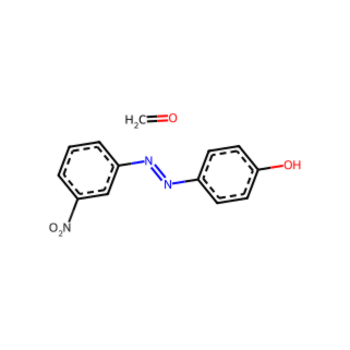 C=O.O=[N+]([O-])c1cccc(N=Nc2ccc(O)cc2)c1